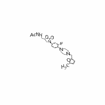 CC(=O)NCC1CN(c2ccc(N3CCN(Cc4ccc(C)o4)CC3)c(F)c2)C(=O)O1